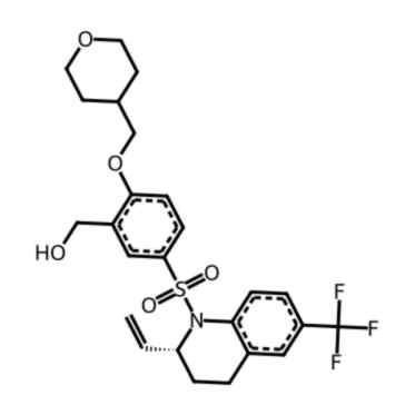 C=C[C@H]1CCc2cc(C(F)(F)F)ccc2N1S(=O)(=O)c1ccc(OCC2CCOCC2)c(CO)c1